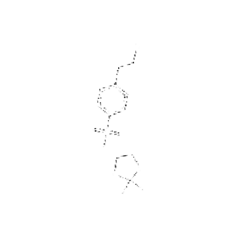 CC1(C)OC[C@@H](CS(=O)(=O)c2ccc(CCO)cc2)O1